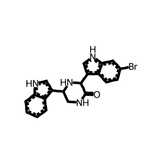 O=C1NCC(c2c[nH]c3ccccc23)NC1c1c[nH]c2cc(Br)ccc12